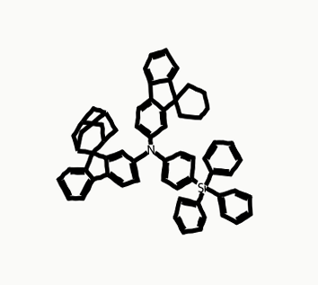 c1ccc([Si](c2ccccc2)(c2ccccc2)c2ccc(N(c3ccc4c(c3)C3(CCCCC3)c3ccccc3-4)c3ccc4c(c3)C3(c5ccccc5-4)C4CC5CC(C4)CC3C5)cc2)cc1